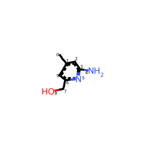 Cc1cc(N)nc(CO)c1